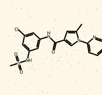 Cc1cc(C(=O)Nc2cc(Cl)cc(NS(C)(=O)=O)c2)cn1-c1ccccn1